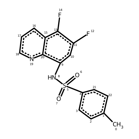 Cc1ccc(S(=O)(=O)Nc2cc(F)c(F)c3cccnc23)cc1